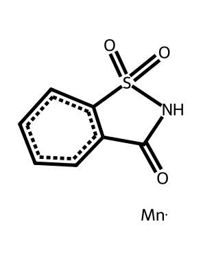 O=C1NS(=O)(=O)c2ccccc21.[Mn]